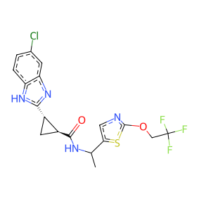 CC(NC(=O)[C@H]1C[C@@H]1c1nc2cc(Cl)ccc2[nH]1)c1cnc(OCC(F)(F)F)s1